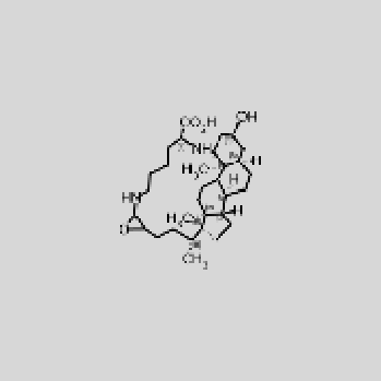 C[C@H](CCC1OC1NCCCC[C@H](N)C(=O)O)[C@H]1CC[C@H]2[C@@H]3CC[C@@H]4C[C@H](O)CC[C@]4(C)C3CC[C@]12C